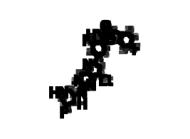 CCc1cc(-c2ccc(NS(=O)(=O)Cc3ccc(F)cc3)c(F)c2)nc2cnc(N[C@@H]3CNC[C@@H](F)C3)nc12